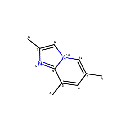 Cc1cc(C)c2nc(C)cn2c1